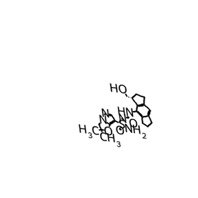 CC1(C)Cn2ncc([S@](N)(=O)=NC(=O)Nc3c4c(cc5c3[C@H](CO)CC5)CCC4)c2O1